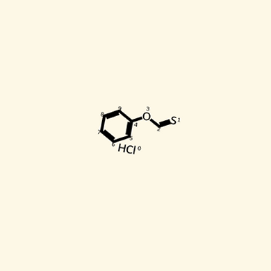 Cl.S=COc1ccccc1